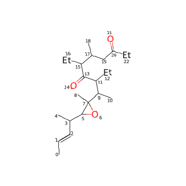 CC=CC(C)C1OC1(C)C(C)C(CC)C(=O)C(CC)C(C)CC(=O)CC